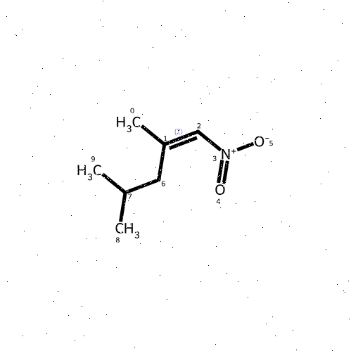 C/C(=C/[N+](=O)[O-])CC(C)C